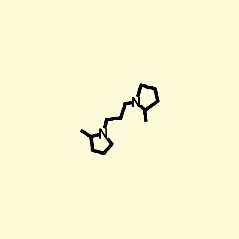 CC1CCCN1CCCN1CCCC1C